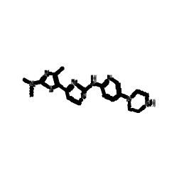 Cc1nc(N(C)C)sc1-c1ccnc(Nc2ccc(N3CCNCC3)cn2)n1